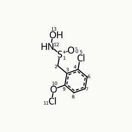 [O-][S+](Cc1c(Cl)cccc1OCl)NO